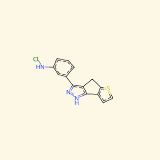 ClNc1cccc(-c2n[nH]c3c2Cc2sccc2-3)c1